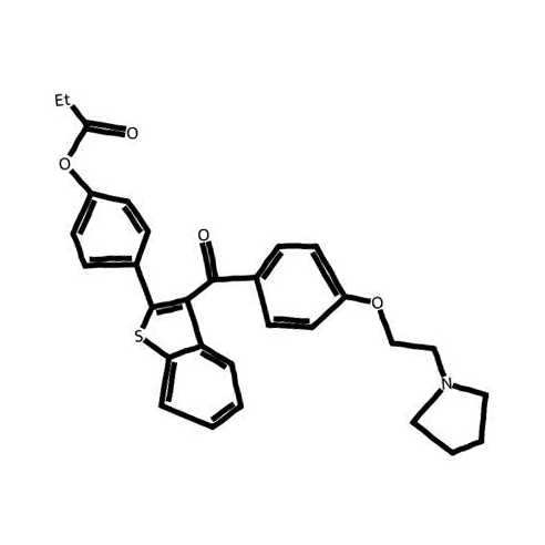 CCC(=O)Oc1ccc(-c2sc3ccccc3c2C(=O)c2ccc(OCCN3CCCC3)cc2)cc1